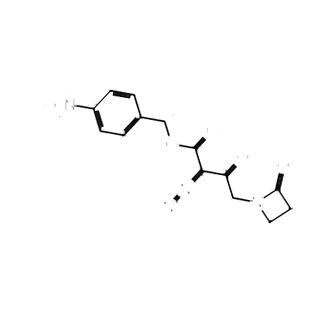 [N-]=[N+]=C(C(=O)CN1CCC1=O)C(=O)OCc1ccc([N+](=O)[O-])cc1